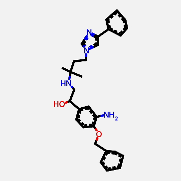 CC(C)(CCn1cnc(-c2ccccc2)c1)NCC(O)c1ccc(OCc2ccccc2)c(N)c1